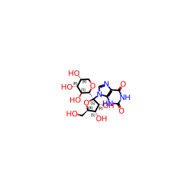 O=c1[nH]c(=O)c2ncn([C@]3(C4OC[C@@H](O)[C@@H](O)[C@@H]4O)O[C@H](CO)[C@@H](O)[C@H]3O)c2[nH]1